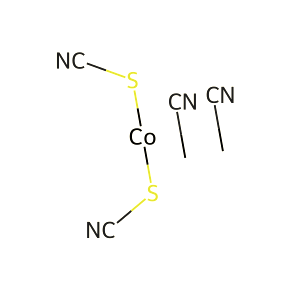 CC#N.CC#N.N#C[S][Co][S]C#N